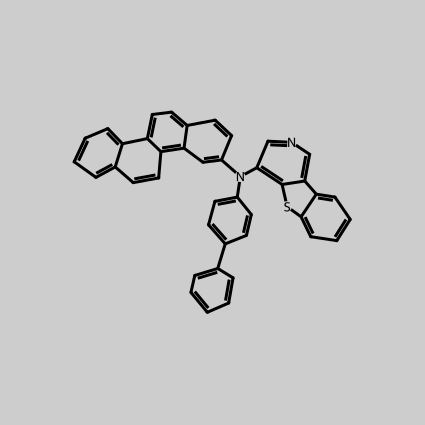 c1ccc(-c2ccc(N(c3ccc4ccc5c6ccccc6ccc5c4c3)c3cncc4c3sc3ccccc34)cc2)cc1